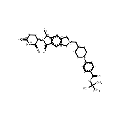 CC(C)(C)OC(=O)c1ccc(N2CCC(CN3Cc4cc5c(cc4C3)C(O)N(C3CCC(=O)NC3=O)C5=O)CC2)cc1